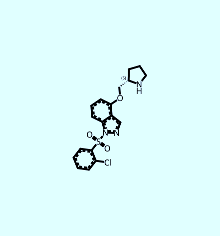 O=S(=O)(c1ccccc1Cl)n1ncc2c(OC[C@@H]3CCCN3)cccc21